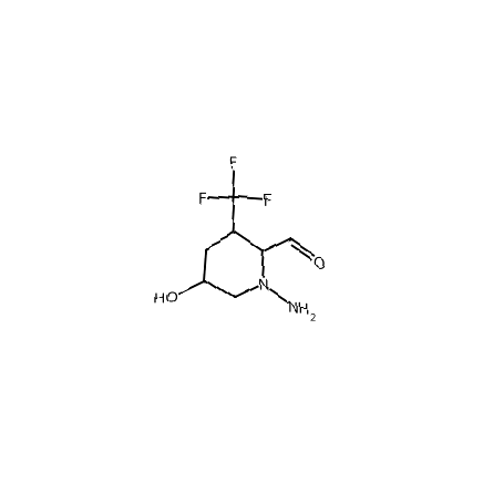 NN1CC(O)CC(C(F)(F)F)C1C=O